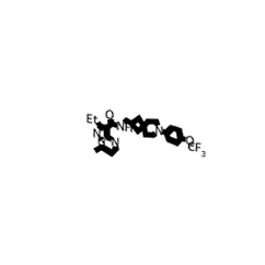 CCc1nn2c(C)ccnc2c1C(=O)NCC1CC2(CCN(c3ccc(OC(F)(F)F)cc3)CC2)C1